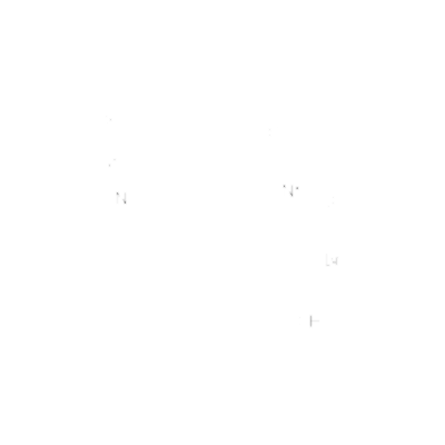 CC(Br)c1ccc(N=C=S)cc1[N+](=O)[O-]